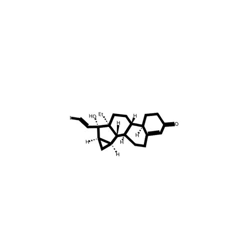 CC[C@]12CC[C@H]3[C@@H](CCC4=CC(=O)CC[C@@H]43)[C@@H]1[C@H]1C[C@H]1[C@@]2(O)/C=C/I